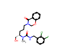 CN(C(=O)NCc1cccc(F)c1Cl)[C@H](CO)CCCN1COc2ccccc2C1=O